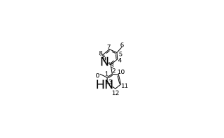 CC1=C(c2cc(C)ccn2)C=CCN1